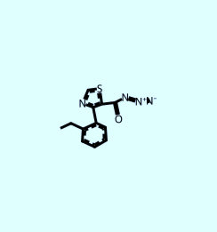 CCc1ccccc1-c1ncsc1C(=O)N=[N+]=[N-]